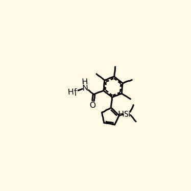 Cc1c(C)c(C)c(C2=C([SiH](C)C)C=CC2)c(C(=O)[NH][Hf])c1C